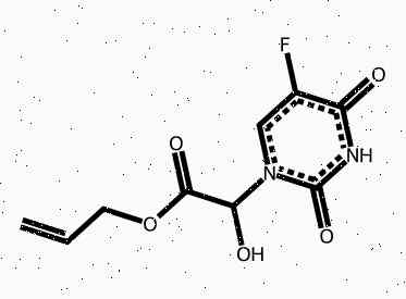 C=CCOC(=O)C(O)n1cc(F)c(=O)[nH]c1=O